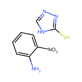 Nc1ccccc1[N+](=O)[O-].Sc1nnc[nH]1